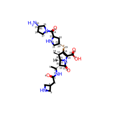 CC(NC(=O)CC1CNC1)[C@H]1C(=O)N2C(C(=O)O)=C(S[C@@H]3CNC(C(=O)N4CC[C@@H](N)C4)C3)[C@H](C)[C@H]12